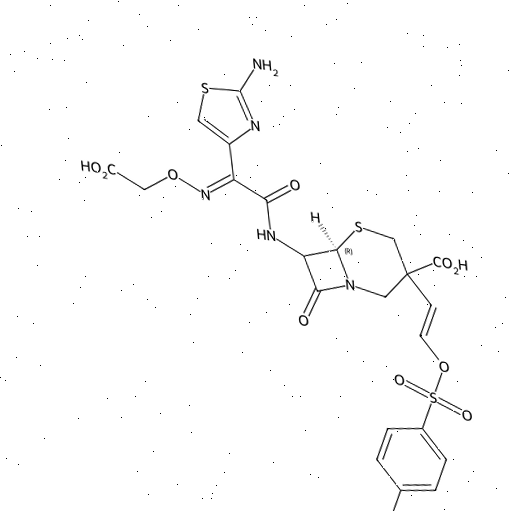 Cc1ccc(S(=O)(=O)OC=CC2(C(=O)O)CS[C@@H]3C(NC(=O)C(=NOCC(=O)O)c4csc(N)n4)C(=O)N3C2)cc1